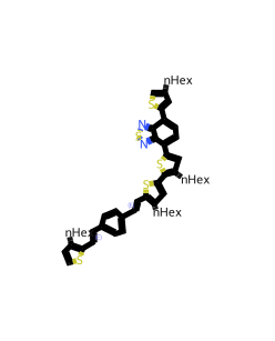 CCCCCCc1csc(-c2ccc(-c3cc(CCCCCC)c(-c4cc(CCCCCC)c(/C=C/c5ccc(/C=C/c6sccc6CCCCCC)cc5)s4)s3)c3nsnc23)c1